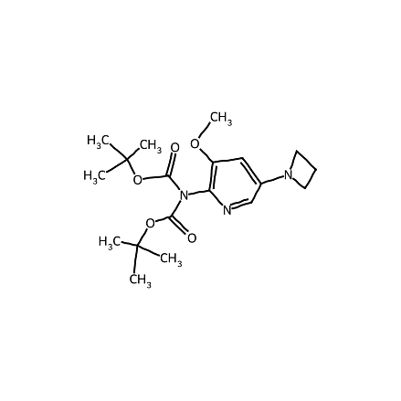 COc1cc(N2CCC2)cnc1N(C(=O)OC(C)(C)C)C(=O)OC(C)(C)C